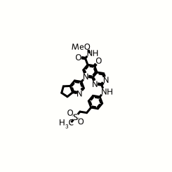 CONC(=O)c1cn(-c2cnc3c(c2)CCC3)c2nc(Nc3ccc(CCS(C)(=O)=O)cc3)ncc2c1=O